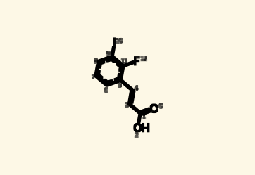 O=C(O)C=Cc1cccc(I)c1F